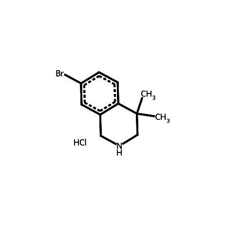 CC1(C)CNCc2cc(Br)ccc21.Cl